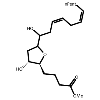 CCCCC/C=C\C/C=C\CC(O)C1C[C@@H](O)[C@H](CCCC(=O)OC)O1